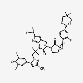 Cn1cc(-c2cc(C(F)(F)F)nn2CC(C)(C)NC(=O)[C@@H](Cc2cnn(C(F)F)c2)N2CC[C@@]3(C[C@@H]3c3ccc(B4OCC(C)(C)CO4)cc3F)C2=O)cc(F)c1=O